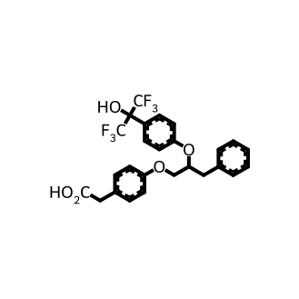 O=C(O)Cc1ccc(OCC(Cc2ccccc2)Oc2ccc(C(O)(C(F)(F)F)C(F)(F)F)cc2)cc1